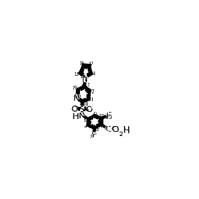 O=C(O)c1c(F)cc(NS(=O)(=O)c2ccc(-n3cccc3)cn2)cc1F